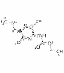 CCOC(=O)Nc1nc(=O)n(CSC)cc1F